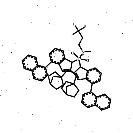 C[SiH](CCC(F)(F)F)[Zr]([Cl])([Cl])([CH]1C(CC23CCC(CC2)C3)=Cc2c(-c3cccc4ccccc34)cccc21)[CH]1C(CC23CCC(CC2)C3)=Cc2c(-c3cccc4ccccc34)cccc21